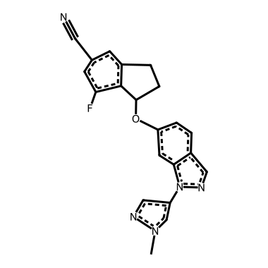 Cn1cc(-n2ncc3ccc(OC4CCc5cc(C#N)cc(F)c54)cc32)cn1